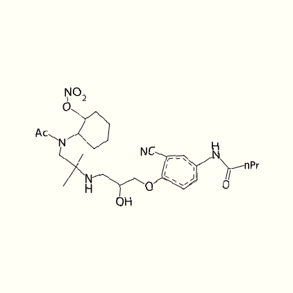 CCCC(=O)Nc1ccc(OCC(O)CNC(C)(C)CN(C(C)=O)C2CCCCC2O[N+](=O)[O-])c(C#N)c1